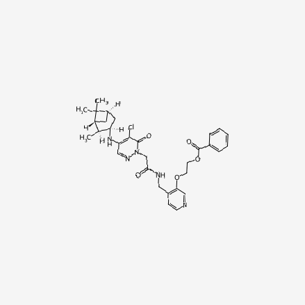 C[C@H]1[C@H]2C[C@H](C[C@H]1Nc1cnn(CC(=O)NCc3ccncc3OCCOC(=O)c3ccccc3)c(=O)c1Cl)C2(C)C